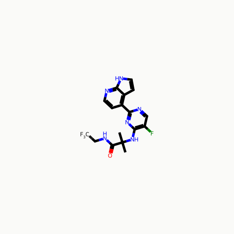 CC(C)(Nc1nc(-c2ccnc3[nH]ccc23)ncc1F)C(=O)NCC(F)(F)F